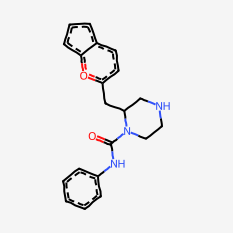 O=C(Nc1ccccc1)N1CCNCC1Cc1ccc2cccc-2o1